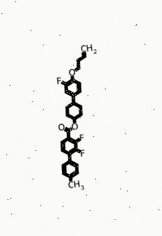 C=CCCOc1ccc(C2CCC(OC(=O)c3ccc(-c4ccc(C)cc4)c(F)c3F)CC2)cc1F